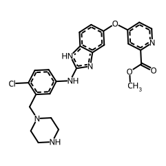 COC(=O)c1cc(Oc2ccc3[nH]c(Nc4ccc(Cl)c(CN5CCNCC5)c4)nc3c2)ccn1